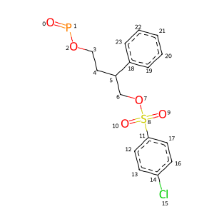 O=POCCC(COS(=O)(=O)c1ccc(Cl)cc1)c1ccccc1